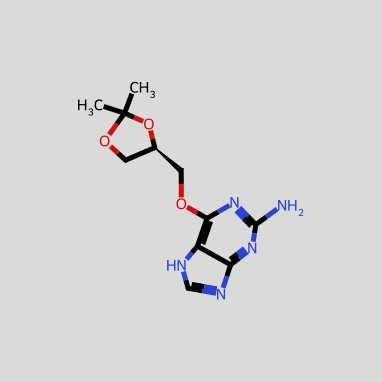 CC1(C)OC[C@H](COc2nc(N)nc3nc[nH]c23)O1